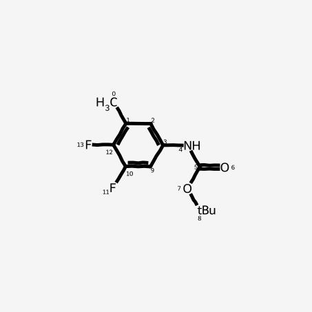 Cc1cc(NC(=O)OC(C)(C)C)cc(F)c1F